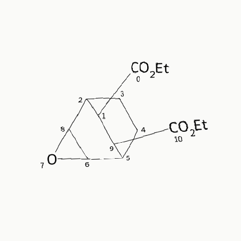 CCOC(=O)C1C2CCC(C3OC23)C1C(=O)OCC